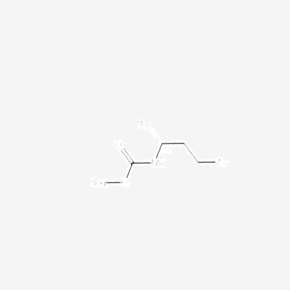 CC(=O)CC[C@H](NC(=O)OC(C)(C)C)C(C)=O